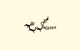 C=BON(/C=N/C=C\C(=C)Br)CCCCCC